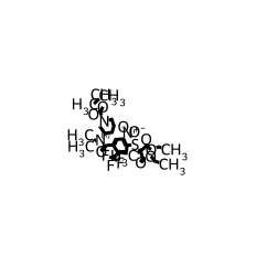 CCOC(=O)C(C)(Sc1cc(C(F)(F)F)c(C(=O)N(C(C)C)[C@@H]2CCCN(C(=O)OC(C)(C)C)C2)cc1[N+](=O)[O-])C(=O)OCC